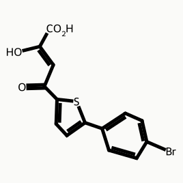 O=C(O)/C(O)=C/C(=O)c1ccc(-c2ccc(Br)cc2)s1